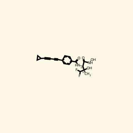 C[C@@](O)(C(F)F)[C@H](NC(=O)c1ccc(C#CC#CC2CC2)cc1)C(=O)NO